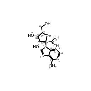 CC(O)[C@@]1(n2cnc3c(N)ncnc32)O[C@H](CO)[C@@H](O)[C@H]1O